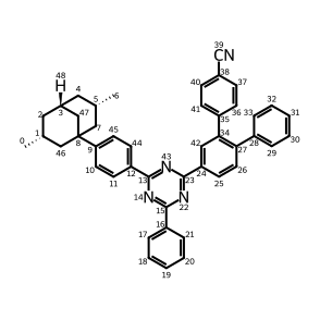 C[C@@H]1C[C@@H]2C[C@H](C)CC(c3ccc(-c4nc(-c5ccccc5)nc(-c5ccc(-c6ccccc6)c(-c6ccc(C#N)cc6)c5)n4)cc3)(C1)C2